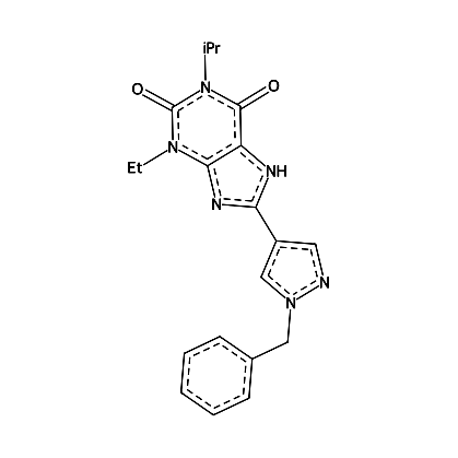 CCn1c(=O)n(C(C)C)c(=O)c2[nH]c(-c3cnn(Cc4ccccc4)c3)nc21